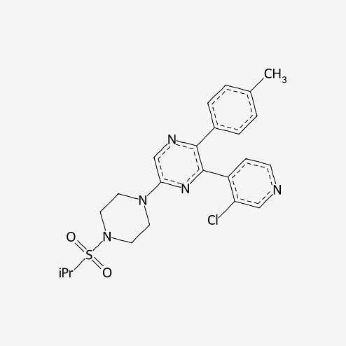 Cc1ccc(-c2ncc(N3CCN(S(=O)(=O)C(C)C)CC3)nc2-c2ccncc2Cl)cc1